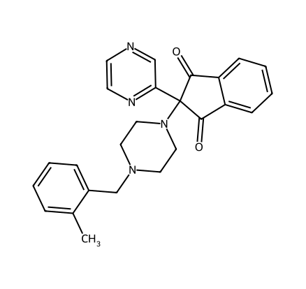 Cc1ccccc1CN1CCN(C2(c3cnccn3)C(=O)c3ccccc3C2=O)CC1